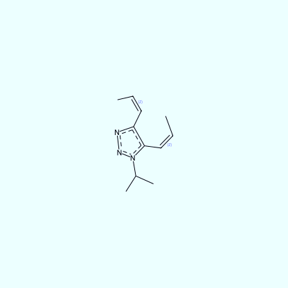 C/C=C\c1nnn(C(C)C)c1/C=C\C